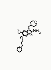 COc1cc2c(cc1OCCCN1CCCC1)nc(N)n2CC1CCOCC1